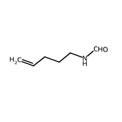 C=CCCCNC=O